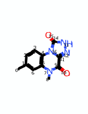 Cc1ccc2c(c1)n(C)c(=O)c1n[nH]c(=O)n12